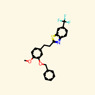 COc1ccc(CCc2nc3ccc(C(F)(F)F)cc3s2)cc1OCc1ccccc1